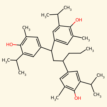 CCCC(CC(c1cc(C)c(O)c(C(C)C)c1)c1cc(C)c(O)c(C(C)C)c1)c1cc(C)c(O)c(C(C)C)c1